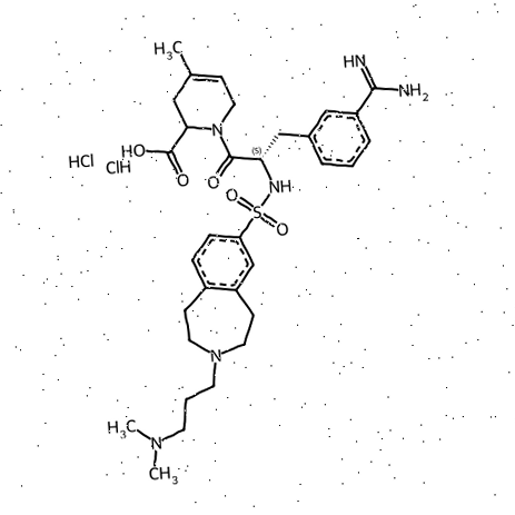 CC1=CCN(C(=O)[C@H](Cc2cccc(C(=N)N)c2)NS(=O)(=O)c2ccc3c(c2)CCN(CCCN(C)C)CC3)C(C(=O)O)C1.Cl.Cl